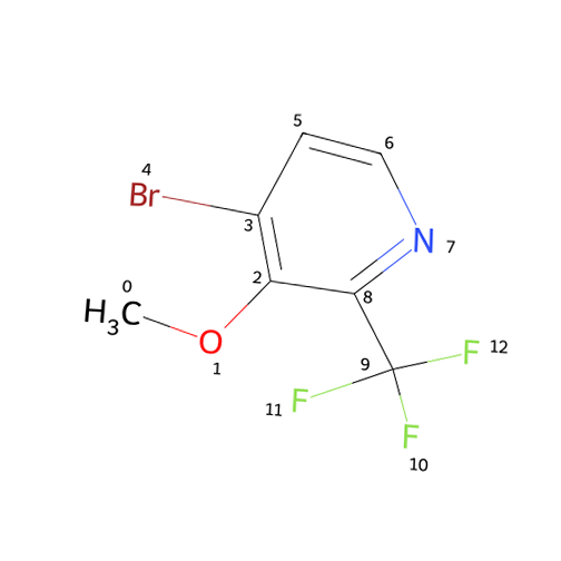 COc1c(Br)ccnc1C(F)(F)F